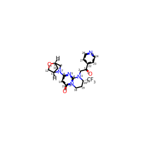 O=C(CN1c2nc(N3C[C@@H]4C[C@H]3CO4)cc(=O)n2CC[C@H]1C(F)(F)F)c1ccncc1